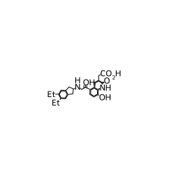 CCc1cc2c(cc1CC)CC(NC[C@H](O)c1ccc(O)c3[nH]c(=O)c(CC(=O)O)cc13)C2